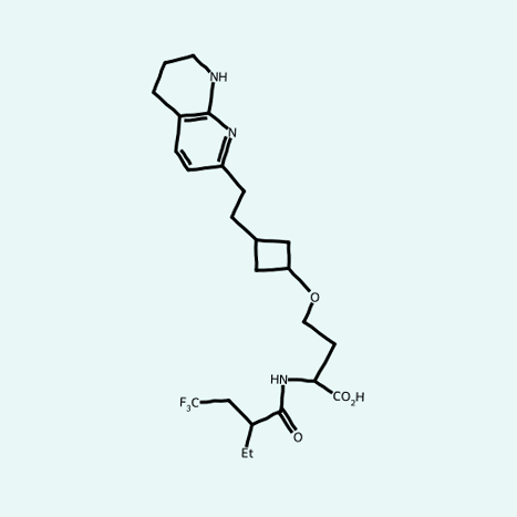 CCC(CC(F)(F)F)C(=O)NC(CCOC1CC(CCc2ccc3c(n2)NCCC3)C1)C(=O)O